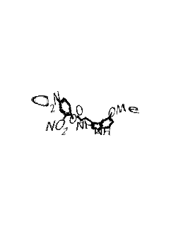 COc1ccc2[nH]cc(C[C@H](N)C(=O)Oc3ccc([N+](=O)[O-])cc3[N+](=O)[O-])c2c1